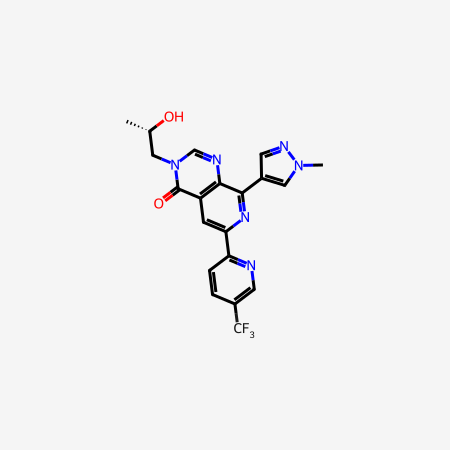 C[C@H](O)Cn1cnc2c(-c3cnn(C)c3)nc(-c3ccc(C(F)(F)F)cn3)cc2c1=O